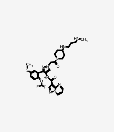 CNCCCNC1CCN(C(=O)Cn2cc(NC(=O)c3cnn4cccnc34)c(-c3cc(SC)ccc3OC(F)F)n2)CC1